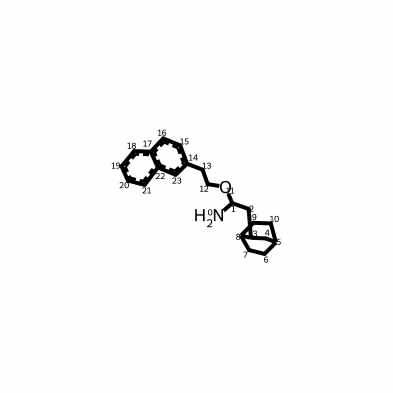 NC(CC1CC2CCC1CC2)OCCc1ccc2ccccc2c1